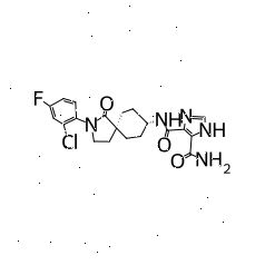 NC(=O)c1[nH]cnc1C(=O)N[C@H]1CC[C@@]2(CCN(c3ccc(F)cc3Cl)C2=O)CC1